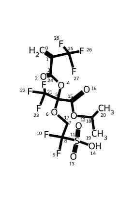 C=C(C(=O)OC(OCC(F)(F)S(=O)(=O)O)(C(=O)OC(C)C)C(F)(F)F)C(F)(F)F